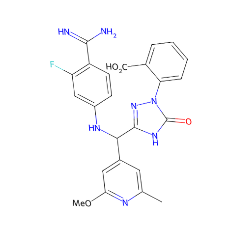 COc1cc(C(Nc2ccc(C(=N)N)c(F)c2)c2nn(-c3ccccc3C(=O)O)c(=O)[nH]2)cc(C)n1